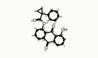 O=C1c2cccc(O)c2C(=O)c2c(OC(=O)C3(c4ccccc4)CC3)cccc21